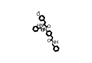 COc1ccc(/C=C(\NC(=O)c2ccccc2)C(=O)Nc2ccc(CC(=O)NCc3ccccc3)cc2)cc1